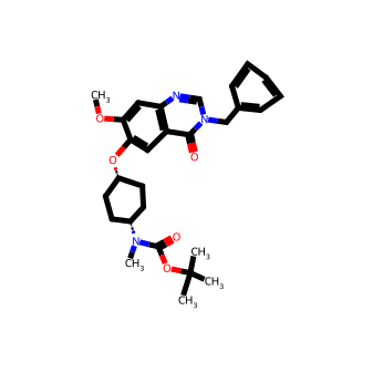 COc1cc2ncn(Cc3ccccc3)c(=O)c2cc1O[C@H]1CC[C@@H](N(C)C(=O)OC(C)(C)C)CC1